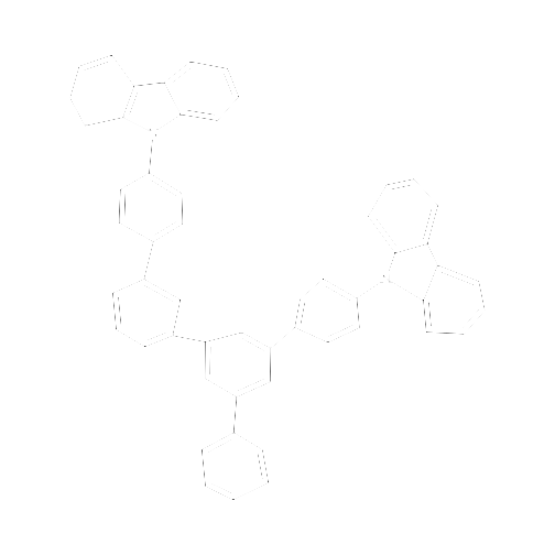 C1=Cc2c(n(-c3ccc(-c4cccc(-c5cc(-c6ccccc6)cc(-c6ccc(-n7c8ccccc8c8ccccc87)cc6)c5)c4)cc3)c3ccccc23)CC1